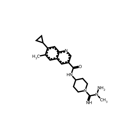 Cc1cc2cc(C(=O)NC3CCN(C(=N)N(C)N)CC3)cnc2cc1C1CC1